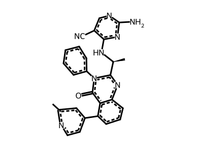 Cc1cc(-c2cccc3nc([C@H](C)Nc4nc(N)ncc4C#N)n(-c4ccccc4)c(=O)c23)ccn1